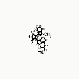 Cn1cc(C2=C(c3cn4c5c(cccc35)CC(CO)C4)C(=O)NC2=O)c2ccccc21